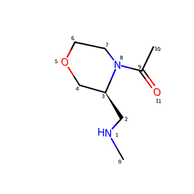 CNC[C@H]1COCCN1C(C)=O